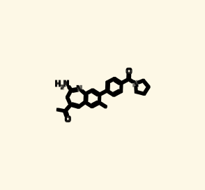 CC(=O)C1=Cc2cc(C)c(-c3ccc(C(=O)N4CCCC4)cc3)cc2N=C(N)C1